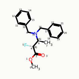 COC(=O)[C@H](F)[C@H](C)N(Cc1ccccc1)Cc1ccccc1